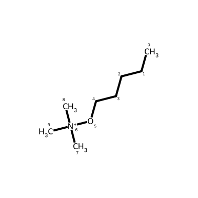 CCCCCO[N+](C)(C)C